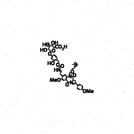 COc1ccc(C2=CN3C(=O)c4cc(OC)c(CCNC(=O)OCc5ccc(O[C@@H]6O[C@H](C(=O)O)[C@@H](O)[C@H](O)[C@H]6O)cc5O)cc4N(COCC[Si](C)(C)C)C(=O)C3C2)cc1